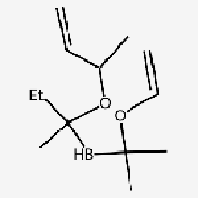 C=COC(C)(C)BC(C)(CC)OC(C)C=C